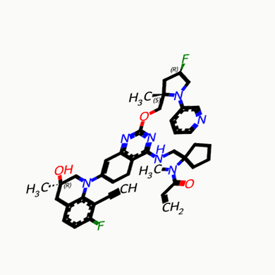 C#Cc1c(F)ccc2c1N(C1=Cc3nc(OC[C@]4(C)C[C@@H](F)CN4c4cccnc4)nc(NCC4(N(C)C(=O)C=C)CCCC4)c3CC1)C[C@](C)(O)C2